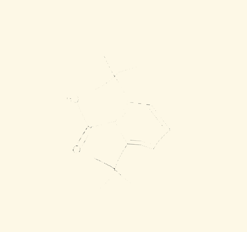 CC(C)(C)c1cccc(C(C)(C)C)c1C(=O)O